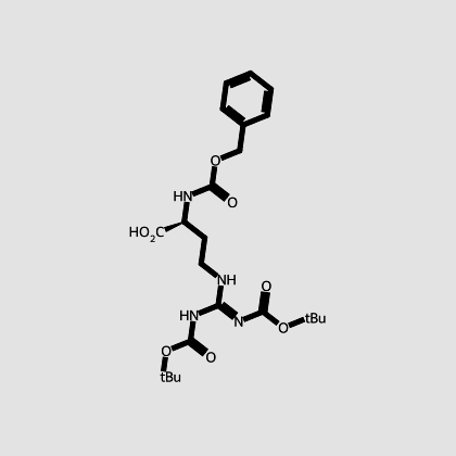 CC(C)(C)OC(=O)/N=C(\NCC[C@H](NC(=O)OCc1ccccc1)C(=O)O)NC(=O)OC(C)(C)C